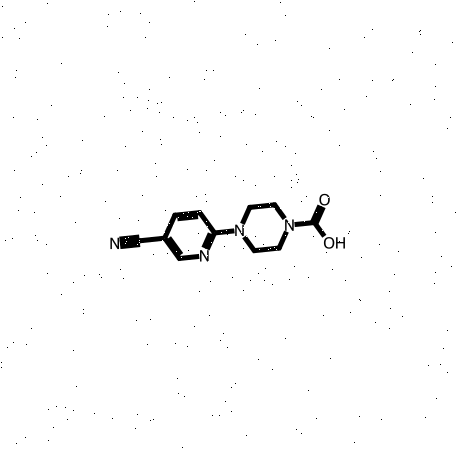 N#Cc1ccc(N2CCN(C(=O)O)CC2)nc1